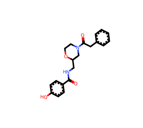 O=C(NCC1CN(C(=O)Cc2ccccc2)CCO1)c1ccc(O)cc1